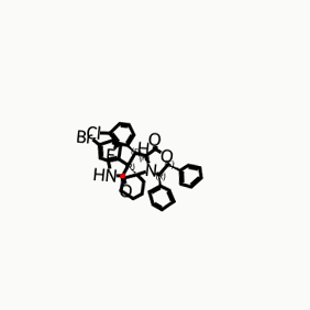 O=C1O[C@@H](c2ccccc2)[C@@H](c2ccccc2)N2[C@@H]1[C@H](c1cccc(Cl)c1F)[C@]1(C(=O)Nc3cc(Br)ccc31)C21CCCCC1